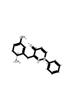 C[C@@H]1CC=C(N)C=C1Cc1nn(-c2ccccc2)ccc1=O